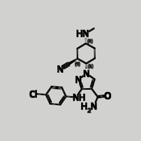 CN[C@@H]1CC[C@H](n2cc(C(N)=O)c(Nc3ccc(Cl)cc3)n2)[C@@H](C#N)C1